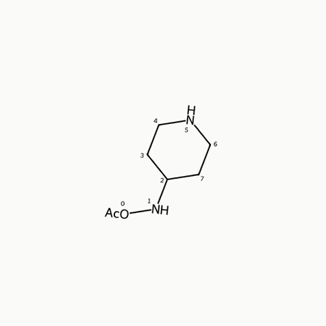 CC(=O)ONC1CCNCC1